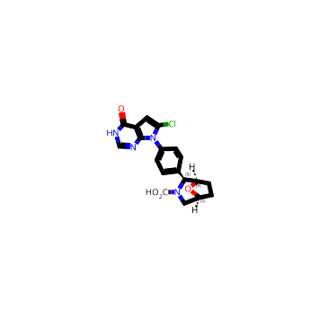 O=C(O)N1C[C@@H]2CC[C@@H](O2)[C@@H]1c1ccc(-n2c(Cl)cc3c(=O)[nH]cnc32)cc1